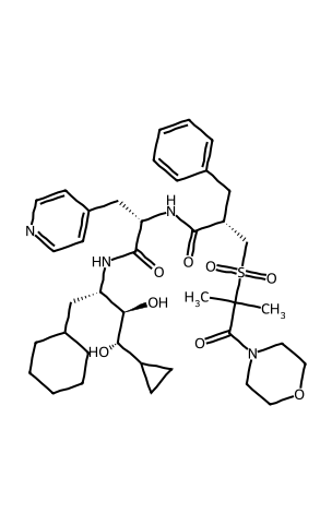 CC(C)(C(=O)N1CCOCC1)S(=O)(=O)C[C@@H](Cc1ccccc1)C(=O)N[C@@H](Cc1ccncc1)C(=O)N[C@@H](CC1CCCCC1)[C@@H](O)[C@@H](O)C1CC1